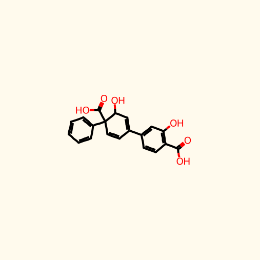 O=C(O)c1ccc(C2=CC(O)C(C(=O)O)(c3ccccc3)C=C2)cc1O